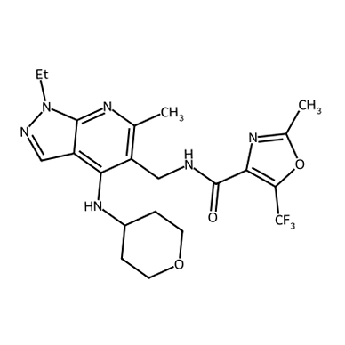 CCn1ncc2c(NC3CCOCC3)c(CNC(=O)c3nc(C)oc3C(F)(F)F)c(C)nc21